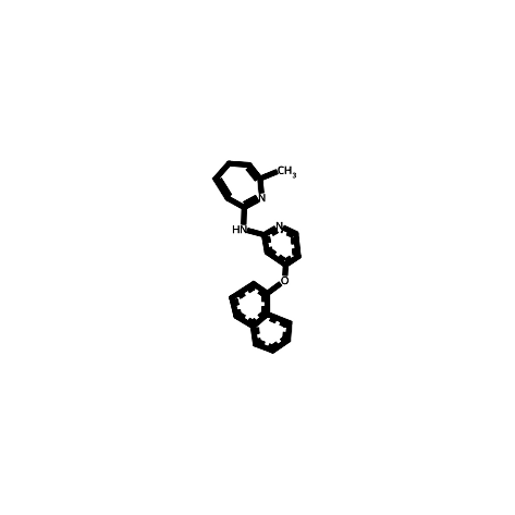 CC1=CCC=CC(Nc2cc(Oc3cccc4ccccc34)ccn2)=N1